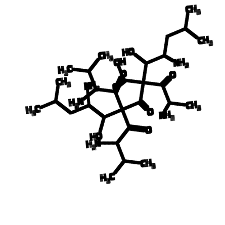 CC(C)CC(N)C(O)C(C(=O)O)(C(=O)C(C)N)C(=O)C(C(=O)C(N)C(C)C)(C(=O)C(N)C(C)C)C(O)C(N)CC(C)C